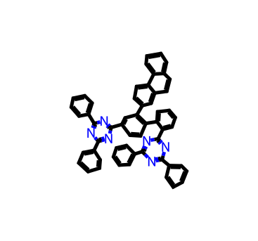 c1ccc(-c2nc(-c3ccccc3)nc(-c3ccc(-c4ccccc4-c4nc(-c5ccccc5)nc(-c5ccccc5)n4)c(-c4ccc5c(ccc6ccccc65)c4)c3)n2)cc1